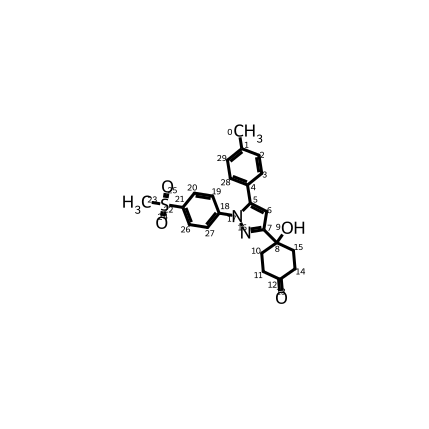 Cc1ccc(-c2cc(C3(O)CCC(=O)CC3)nn2-c2ccc(S(C)(=O)=O)cc2)cc1